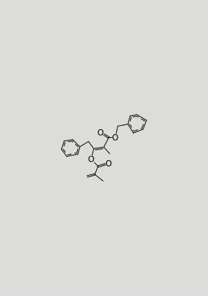 C=C(C)C(=O)OC(Cc1ccccc1)=C(C)C(=O)OCc1ccccc1